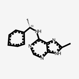 Cc1nc2c(N[C@@H](C)c3ccccc3)ncnc2[nH]1